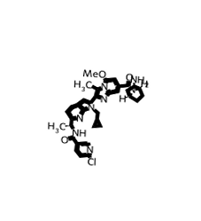 COc1cc(C(=O)N2[C@H]3CC[C@@H]2[C@H](N)C3)cc2nc(-c3cc4ccc([C@@H](C)NC(=O)c5ccc(Cl)nc5)nc4n3CC3CC3)c(C)n12